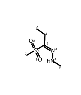 CCC(=NNC)S(C)(=O)=O